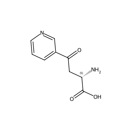 N[C@@H](CC(=O)c1cccnc1)C(=O)O